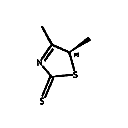 CC1=NC(=S)S[C@@H]1C